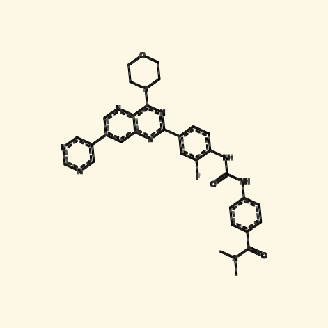 CN(C)C(=O)c1ccc(NC(=O)Nc2ccc(-c3nc(N4CCOCC4)c4ncc(-c5cncnc5)cc4n3)cc2F)cc1